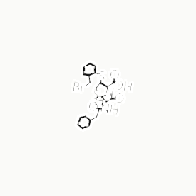 O=C(Cc1ccccc1)N[C@@H]1C(=O)N2C(C(=O)O)=C(Sc3ccccc3CBr)CS[C@@H]12